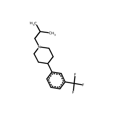 CC(C)CN1CCC(c2cc[c]c(C(F)(F)F)c2)CC1